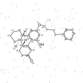 C[C@H](CCCc1ccccc1)Oc1cc(O)c2c(c1)[C@H]1CCCC[C@@H]1[C@H]1CCC(=O)C=C21